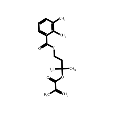 C=C(C(=O)OC(C)(C)CCOC(=O)c1cccc(C)c1C)C(F)(F)F